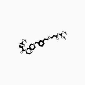 C=C(C)OC(=O)CCOCCc1cccc(CN2CCC3(CC2)CN(C(=O)c2csc(C)n2)CCO3)c1